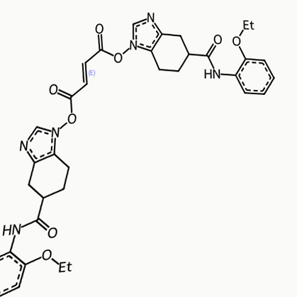 CCOc1ccccc1NC(=O)C1CCc2c(ncn2OC(=O)/C=C/C(=O)On2cnc3c2CCC(C(=O)Nc2ccccc2OCC)C3)C1